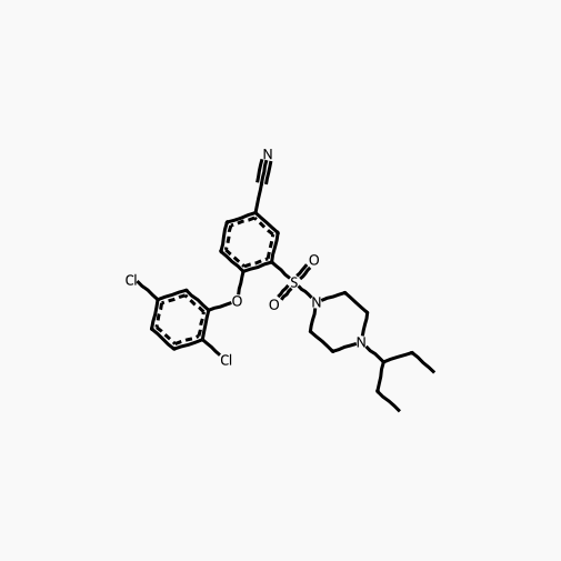 CCC(CC)N1CCN(S(=O)(=O)c2cc(C#N)ccc2Oc2cc(Cl)ccc2Cl)CC1